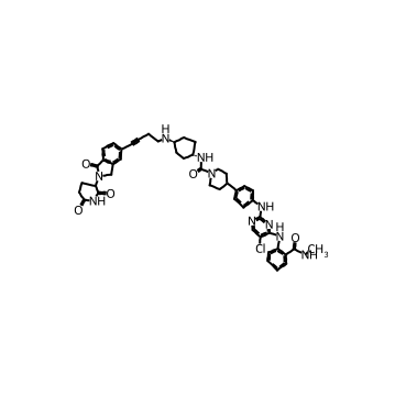 CNC(=O)c1ccccc1Nc1nc(Nc2ccc(C3CCN(C(=O)N[C@H]4CC[C@H](NCCC#Cc5ccc6c(c5)CN(C5CCC(=O)NC5=O)C6=O)CC4)CC3)cc2)ncc1Cl